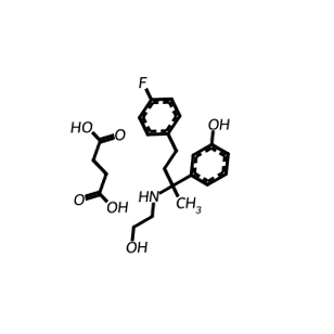 CC(CCc1ccc(F)cc1)(NCCO)c1cccc(O)c1.O=C(O)CCC(=O)O